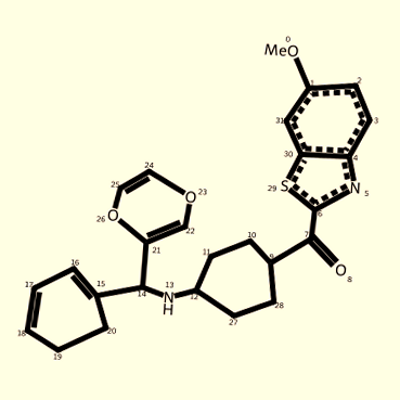 COc1ccc2nc(C(=O)C3CCC(NC(C4=CC=CCC4)C4=COC=CO4)CC3)sc2c1